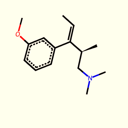 C/C=C(\c1cccc(OC)c1)[C@@H](C)CN(C)C